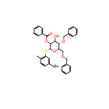 Cc1ccc(C(C)(C)C)cc1S[C@@H]1OC(COCc2ccccc2)[C@@H](OCc2ccccc2)C(O)C1OC(=O)c1ccccc1